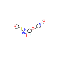 O=c1[nH]c(CSC2CCOCC2)nc2cc(OCC3CCN(C4COC4)CC3)cc(F)c12